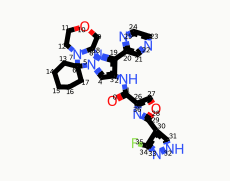 O=C(Nc1cn(C2(N3CCOCC3)CCCCC2)nc1-c1cnccn1)c1coc(-c2c[nH]nc2F)n1